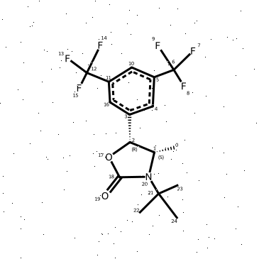 C[C@H]1[C@@H](c2cc(C(F)(F)F)cc(C(F)(F)F)c2)OC(=O)N1C(C)(C)C